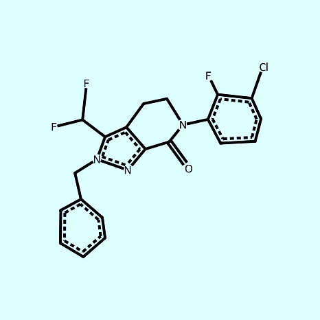 O=C1c2nn(Cc3ccccc3)c(C(F)F)c2CCN1c1cccc(Cl)c1F